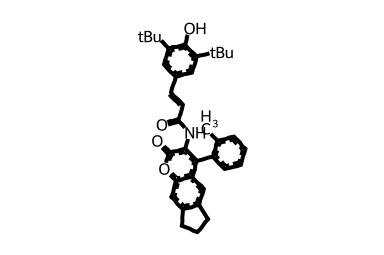 Cc1ccccc1-c1c(NC(=O)C=Cc2cc(C(C)(C)C)c(O)c(C(C)(C)C)c2)c(=O)oc2cc3c(cc12)CCC3